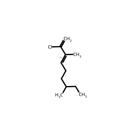 C=C(Cl)/C(C)=C/CCC(C)CC